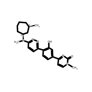 C[C@@H]1CCCC[C@H](N(C)c2ccc(-c3ccc(-c4ccn(C)c(=O)n4)cc3O)nn2)C1